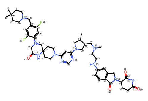 C[C@@H]1CN(c2cc(N3CCC4(CC3)CN(c3cc(F)c(CN5CCC(C)(C)CC5)cc3F)CC(=O)N4)ncn2)C[C@@H]1CN(C)CCNc1ccc2c(c1)CN(C1CCC(=O)NC1=O)C2=O